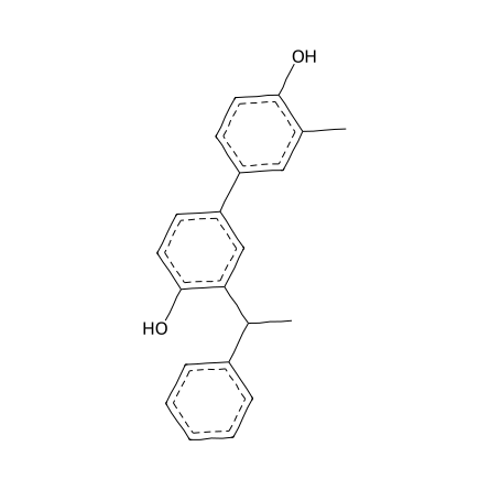 Cc1cc(-c2ccc(O)c(C(C)c3ccccc3)c2)ccc1O